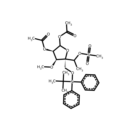 CO[C@H]1[C@@H](OC(C)=O)C(OC(C)=O)O[C@@]1(CO[Si](c1ccccc1)(c1ccccc1)C(C)(C)C)C(C)OS(C)(=O)=O